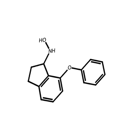 ONC1CCc2cccc(Oc3ccccc3)c21